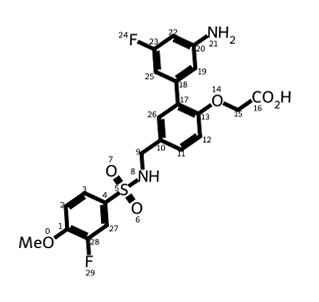 COc1ccc(S(=O)(=O)NCc2ccc(OCC(=O)O)c(-c3cc(N)cc(F)c3)c2)cc1F